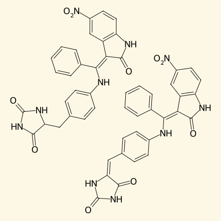 O=C1NC(=O)/C(=C\c2ccc(N/C(=C3\C(=O)Nc4ccc([N+](=O)[O-])cc43)c3ccccc3)cc2)N1.O=C1NC(=O)C(Cc2ccc(N/C(=C3\C(=O)Nc4ccc([N+](=O)[O-])cc43)c3ccccc3)cc2)N1